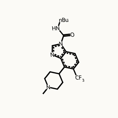 CCCCNC(=O)n1cnc2c(C3CCN(C)CC3)c(C(F)(F)F)ccc21